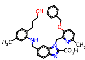 Cc1ccc(CCCO)c(NCc2ccc3nc(C(=O)O)n(Cc4nc(C)ccc4OCc4ccccc4)c3c2)c1